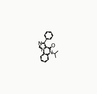 CC(C)n1c(=O)c2c(-c3ccccc3)ncn2c2ccccc21